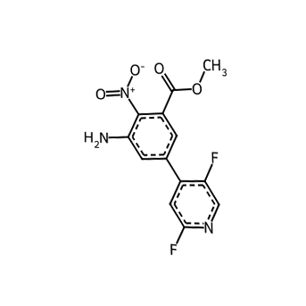 COC(=O)c1cc(-c2cc(F)ncc2F)cc(N)c1[N+](=O)[O-]